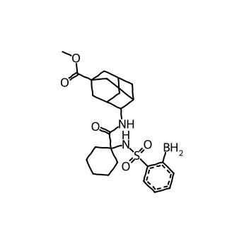 Bc1ccccc1S(=O)(=O)NC1(C(=O)NC2C3CC4CC2CC(C(=O)OC)(C4)C3)CCCCC1